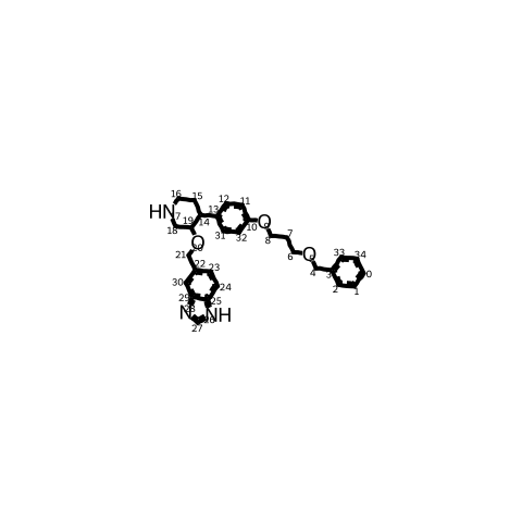 c1ccc(COCCCOc2ccc(C3CCNCC3OCc3ccc4[nH]cnc4c3)cc2)cc1